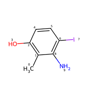 Cc1c(O)ccc(I)c1N